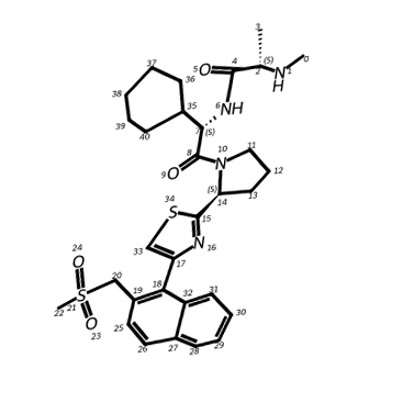 CN[C@@H](C)C(=O)N[C@H](C(=O)N1CCC[C@H]1c1nc(-c2c(CS(C)(=O)=O)ccc3ccccc23)cs1)C1CCCCC1